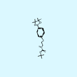 CC(C)(C)OC(=O)NCCSc1ccc(B2OC(C)(C)C(C)(C)O2)cc1